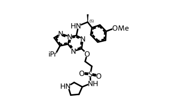 COc1cccc([C@H](C)Nc2nc(OCCS(=O)(=O)NC3CCNC3)nc3c(C(C)C)cnn23)c1